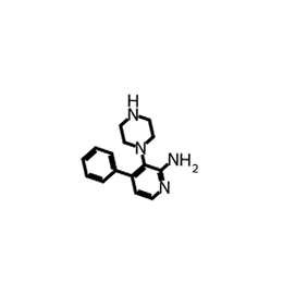 Nc1nccc(-c2ccccc2)c1N1CCNCC1